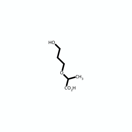 CC(OCCCO)C(=O)O